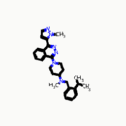 CC(C)c1ccccc1CN(C)C1CCN(c2nnc(-c3ccnn3C)c3ccccc23)CC1